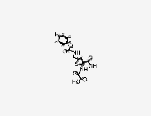 O=C(NCc1cc(C(=O)O)c(NC(=O)C(=O)O)s1)Oc1ccc(F)cc1